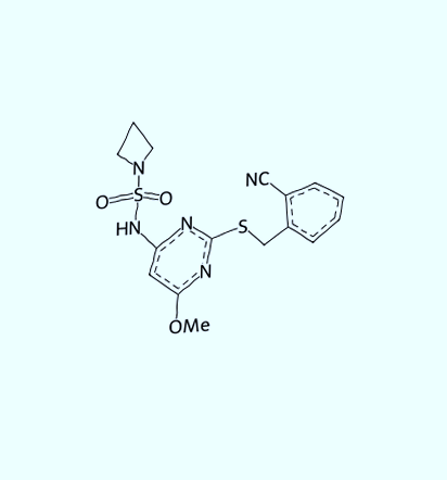 COc1cc(NS(=O)(=O)N2CCC2)nc(SCc2ccccc2C#N)n1